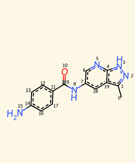 Cc1n[nH]c2ncc(NC(=O)c3ccc(N)cc3)cc12